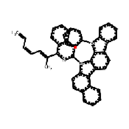 C=C/C=C\C=C(/C)c1nc(-n2c3ccc4ccccc4c3c3ccc4c5ccccc5n(-c5ccccc5)c4c32)nc2ccccc12